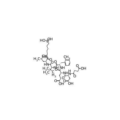 Cc1ccccc1C[C@H](NC(=O)[C@H](CCC(=O)O)NC(=O)[C@H](CC(=O)O)NC(=O)CCC(=O)O)C(=O)N[C@H](C(=O)N[C@@H](CC(C)C)C(=O)NCCCCCB(O)O)C(C)(C)C